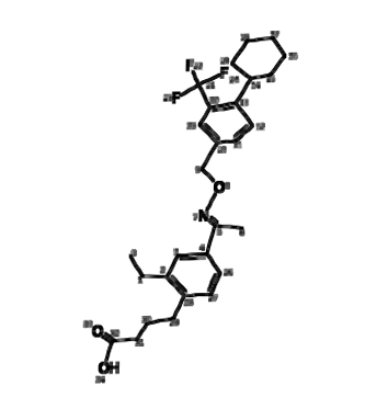 CCc1cc(C(C)=NOCc2ccc(C3CCCCC3)c(C(F)(F)F)c2)ccc1CCCC(=O)O